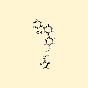 Oc1ccccc1-c1cc(-c2ccc(OCCOc3ccon3)cc2)cnn1